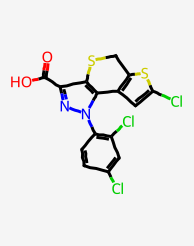 O=C(O)c1nn(-c2ccc(Cl)cc2Cl)c2c1SCc1sc(Cl)cc1-2